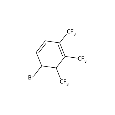 FC(F)(F)C1=C(C(F)(F)F)C(C(F)(F)F)[C](Br)C=C1